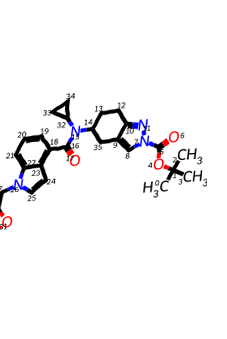 CC(C)(C)OC(=O)n1cc2c(n1)CCC(N(C(=O)c1cccc3c1ccn3CC1CCO1)C1CC1)C2